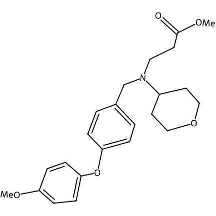 COC(=O)CCN(Cc1ccc(Oc2ccc(OC)cc2)cc1)C1CCOCC1